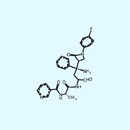 C[C@H](NC(=O)c1cccnc1)C(=O)NC(C=O)C[C@](N)(c1ccccc1)C1CN(c2ccc(F)cc2)C1=O